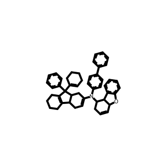 C1=CC2Oc3ccccc3C2C(N(C2=CCC3C4=C(CCCC4)C(C4=CCCCC4)(c4ccccc4)C3C2)c2ccc(-c3ccccc3)cc2)C1